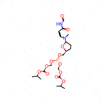 CC(C)OC(=O)OCOP(OCOC(=O)OC(C)C)OC[C@@H]1CC[C@H](N(C)/C=C\C(=O)NC=O)O1